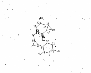 CC1=CC(C)C(C2CC2CN(CC(C)C)C(=O)C2CC2)CC1